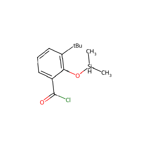 C[SiH](C)Oc1c(C(=O)Cl)cccc1C(C)(C)C